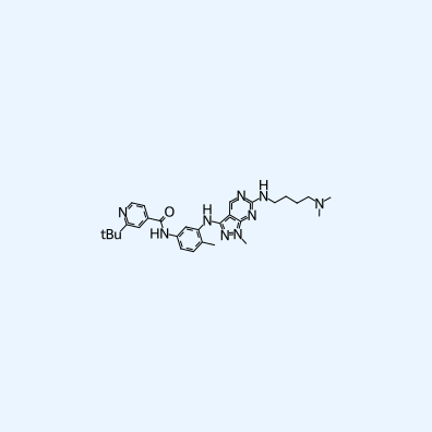 Cc1ccc(NC(=O)c2ccnc(C(C)(C)C)c2)cc1Nc1nn(C)c2nc(NCCCCN(C)C)ncc12